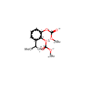 COC(OC)c1cccc(OC(=O)OC(C)(C)C)c1OC(=O)OC(C)(C)C